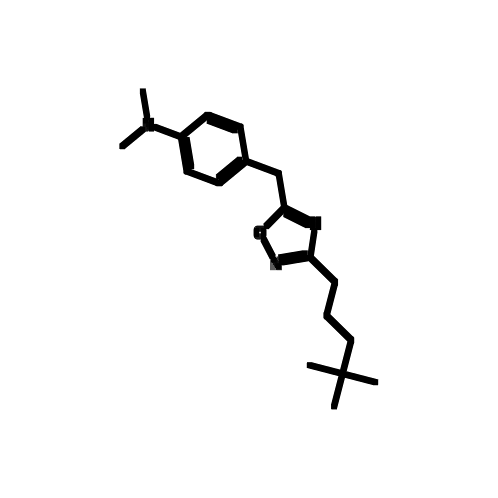 CN(C)c1ccc(Cc2nc(CCCC(C)(C)C)no2)cc1